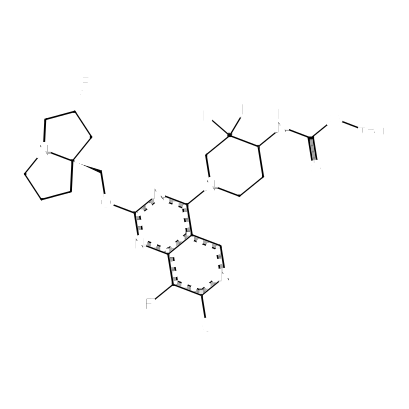 CC(C)(C)OC(=O)NC1CCN(c2nc(OC[C@@]34CCCN3C[C@H](F)C4)nc3c(F)c(Cl)ncc23)CC1(F)F